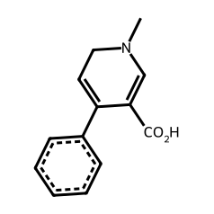 CN1C=C(C(=O)O)C(c2ccccc2)=CC1